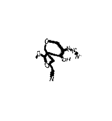 COC(=O)C1(CCC#N)COCC(N=[N+]=[N-])C1O